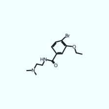 CCOc1cc(C(=O)NCCN(C)C)ccc1Br